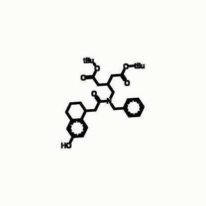 CC(C)(C)OC(=O)CC(CC(=O)OC(C)(C)C)CN(Cc1ccccc1)C(=O)CC1CCCc2cc(O)ccc21